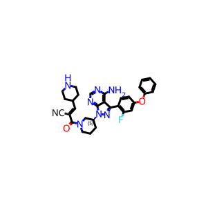 N#CC(=CC1CCNCC1)C(=O)N1CCC[C@H](n2nc(-c3ccc(Oc4ccccc4)cc3F)c3c(N)ncnc32)C1